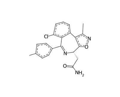 Cc1ccc(C2=N[C@@H](CC(N)=O)c3onc(C)c3-c3cccc(Cl)c32)cc1